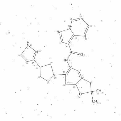 CC1(C)Cc2cc(NC(=O)c3cnn4cccnc34)c(N3CCC(c4cc[nH]n4)C3)cc2O1